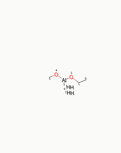 CC[O][Al][O]C.[HH].[HH]